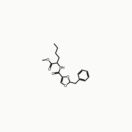 CCCCC(NC(=O)C1=COC(Cc2ccccc2)O1)C(=O)OC